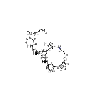 CC#CC(=O)C1CCCN(CCNc2cc3cc(c2)Nc2nccc(n2)-c2cccc(c2)OCC/C=C/CN(C)C3)CC1